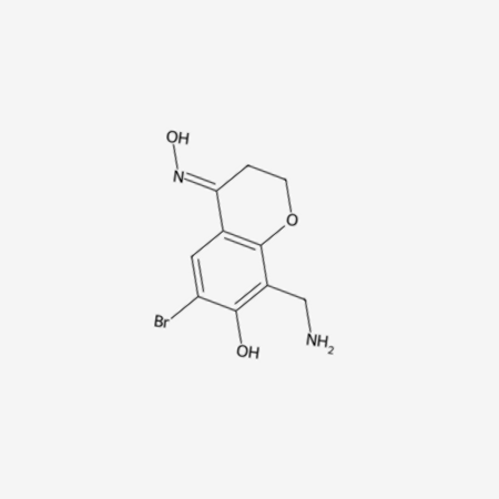 NCc1c(O)c(Br)cc2c1OCC/C2=N\O